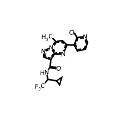 Cc1cc(-c2cccnc2Cl)nc2c(C(=O)NC(C3CC3)C(F)(F)F)cnn12